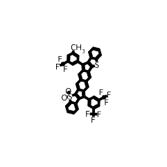 Cc1cc(C2=c3cc4cc5c(cc4cc3-c3sc4ccccc4c32)=C(c2cc(C(F)(F)F)cc(C(F)(F)F)c2)C2=C5S(=O)(=O)c3ccccc32)cc(C(F)(F)F)c1